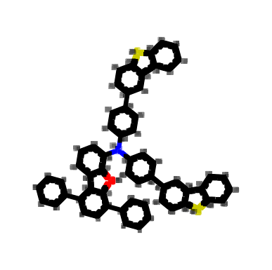 c1ccc(-c2ccc(-c3ccccc3)c3c2oc2c(N(c4ccc(-c5ccc6sc7ccccc7c6c5)cc4)c4ccc(-c5ccc6sc7ccccc7c6c5)cc4)cccc23)cc1